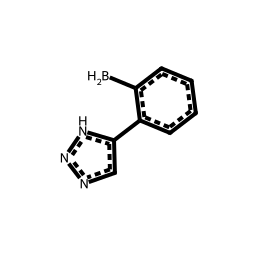 Bc1ccccc1-c1cnn[nH]1